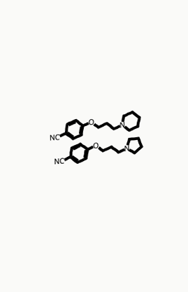 N#Cc1ccc(OCCCN2CCCC2)cc1.N#Cc1ccc(OCCCN2CCCCC2)cc1